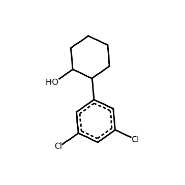 OC1CCCCC1c1cc(Cl)cc(Cl)c1